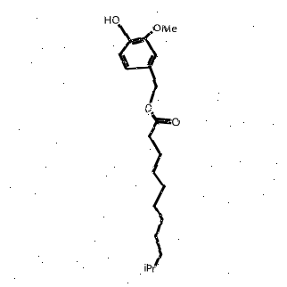 COc1cc(COC(=O)CCCCCCCCC(C)C)ccc1O